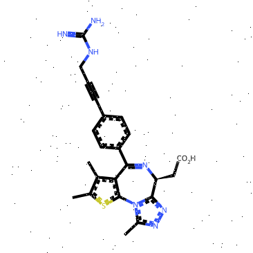 Cc1sc2c(c1C)C(c1ccc(C#CCNC(=N)N)cc1)=N[C@@H](CC(=O)O)c1nnc(C)n1-2